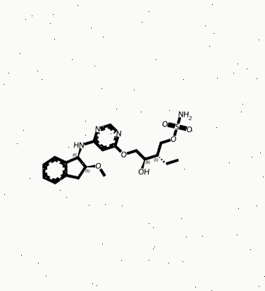 CC[C@@H](COS(N)(=O)=O)[C@@H](O)COc1cc(N[C@@H]2c3ccccc3C[C@@H]2OC)ncn1